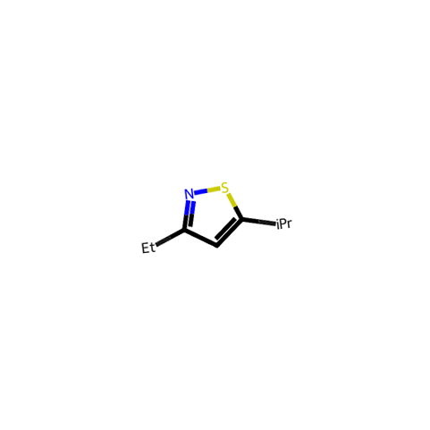 CCc1cc(C(C)C)sn1